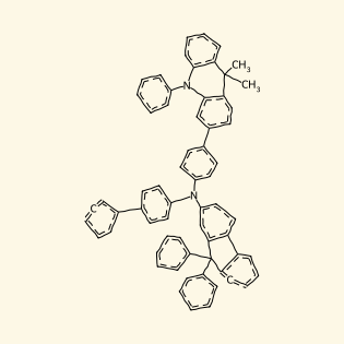 CC1(C)c2ccccc2N(c2ccccc2)c2cc(-c3ccc(N(c4ccc(-c5ccccc5)cc4)c4ccc5c(c4)C(c4ccccc4)(c4ccccc4)c4ccccc4-5)cc3)ccc21